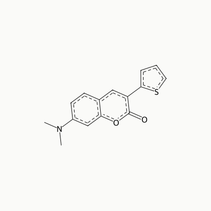 CN(C)c1ccc2cc(-c3cccs3)c(=O)oc2c1